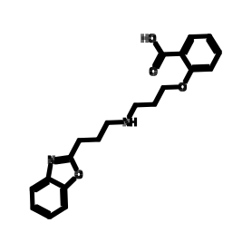 O=C(O)c1ccccc1OCCCNCCCc1nc2ccccc2o1